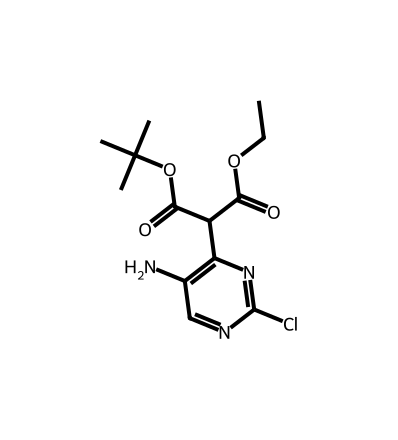 CCOC(=O)C(C(=O)OC(C)(C)C)c1nc(Cl)ncc1N